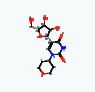 O=c1[nH]c(=O)n(C2CCOCC2)cc1[C@@H]1O[C@H](CO)C(O)C1O